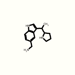 CC(c1c[nH]c2ccc(CN)cc12)C1CCCN1